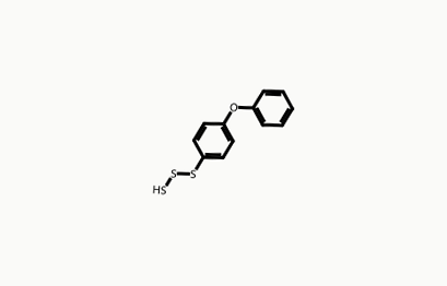 SSSc1ccc(Oc2ccccc2)cc1